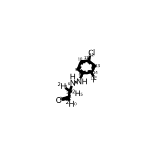 [2H]C(=O)C([2H])([2H])NNc1ccc(Cl)cc1F